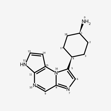 N[C@H]1CC[C@@H](c2cnc3cnc4[nH]ccc4n32)CC1